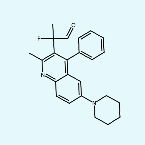 Cc1nc2ccc(N3CCCCC3)cc2c(-c2ccccc2)c1C(C)(F)C=O